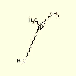 CCCCCCCCCCCCCCCCCn1cc[n+](CCCCCCC)c1CCC